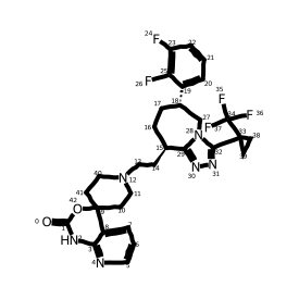 O=C1Nc2ncccc2C2(CCN(CC[C@H]3CC[C@H](c4cccc(F)c4F)Cn4c3nnc4C3(C(F)(F)F)CC3)CC2)O1